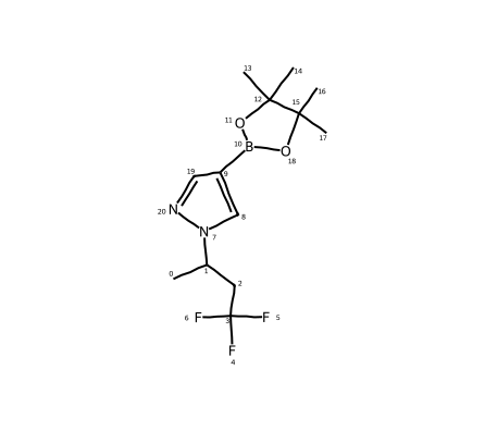 CC(CC(F)(F)F)n1cc(B2OC(C)(C)C(C)(C)O2)cn1